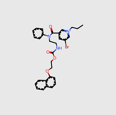 CCC[n+]1cc(Br)cc(C(=O)N(CCNC(=O)OCCOc2cccc3ccccc23)c2ccccc2)c1